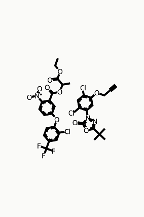 C#CCOc1cc(-n2nc(C(C)(C)C)oc2=O)c(Cl)cc1Cl.CCOC(=O)C(C)OC(=O)c1cc(Oc2ccc(C(F)(F)F)cc2Cl)ccc1[N+](=O)[O-]